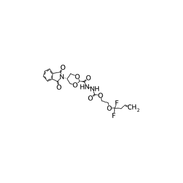 C=CCC(F)(F)OCCOC(=O)NNC(=O)[C@H]1OC[C@H](N2C(=O)c3ccccc3C2=O)CO1